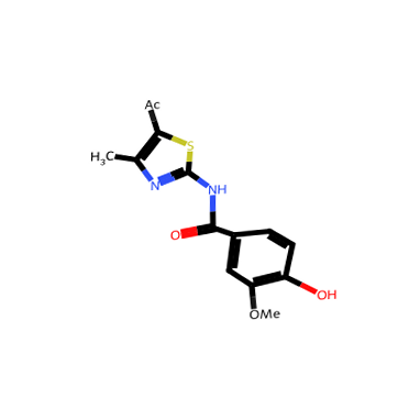 COc1cc(C(=O)Nc2nc(C)c(C(C)=O)s2)ccc1O